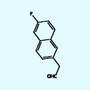 O=CCc1ccc2cc(F)ccc2c1